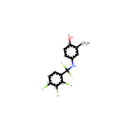 O=C(O)c1cc(NC(F)(F)c2ccc(F)c(F)c2F)ccc1O